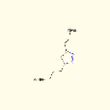 CNCCc1cn(CCCNC(C)=O)nn1